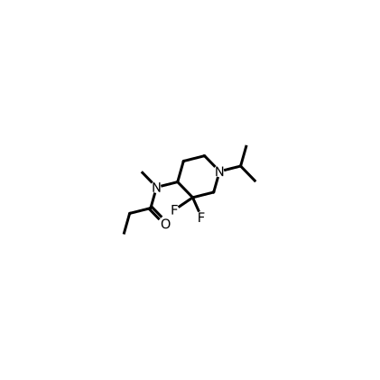 CCC(=O)N(C)C1CCN(C(C)C)CC1(F)F